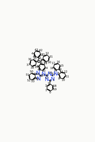 c1ccc(-c2nc(-n3c4ccccc4c4ccccc43)nc(-n3c4ccc([Si](c5ccccc5)(c5ccccc5)c5ccccc5)cc4n4c5ccccc5nc34)n2)cc1